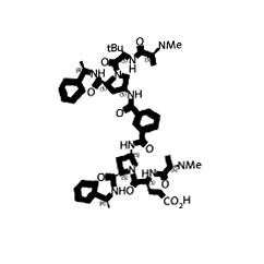 CN[C@@H](C)C(=O)N[C@@H](CCC(=O)O)C(=O)N1C[C@@H](NC(=O)c2cccc(C(=O)N[C@H]3C[C@@H](C(=O)N[C@H](C)c4ccccc4)N(C(=O)[C@@H](NC(=O)[C@H](C)NC)C(C)(C)C)C3)c2)C[C@H]1C(=O)N[C@H](C)c1ccccc1